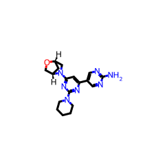 Nc1ncc(-c2cc(N3C[C@@H]4C[C@H]3CO4)nc(N3CCCCC3)n2)cn1